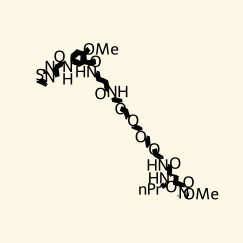 CCCC(=O)N[C@H](CCC(=O)N(C)OC)C(=O)NCCOCCOCCOCCOCCNC(=O)CCCNC(=O)c1cc(NC(=O)c2cn3ccsc3n2)ccc1OC